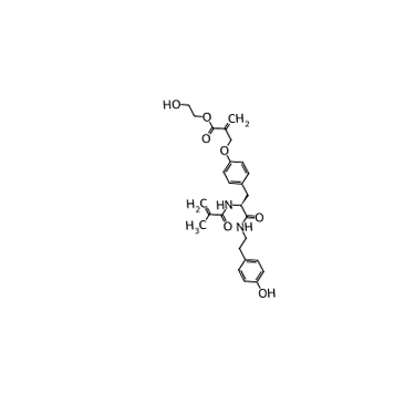 C=C(C)C(=O)N[C@@H](Cc1ccc(OCC(=C)C(=O)OCCO)cc1)C(=O)NCCc1ccc(O)cc1